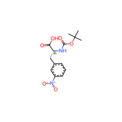 CC(C)(C)OC(=O)N[C@H](Cc1cccc([N+](=O)[O-])c1)C(=O)O